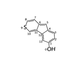 Oc1ccc2cc3ccscc-3c2c1